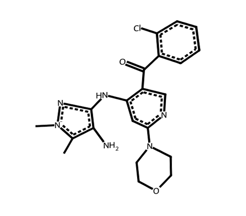 Cc1c(N)c(Nc2cc(N3CCOCC3)ncc2C(=O)c2ccccc2Cl)nn1C